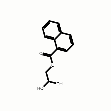 O=C(OCC(O)O)c1cccc2ccccc12